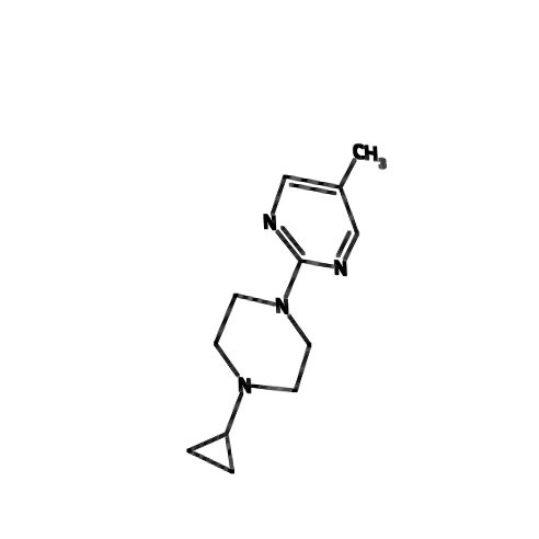 Cc1cnc(N2CCN(C3CC3)CC2)nc1